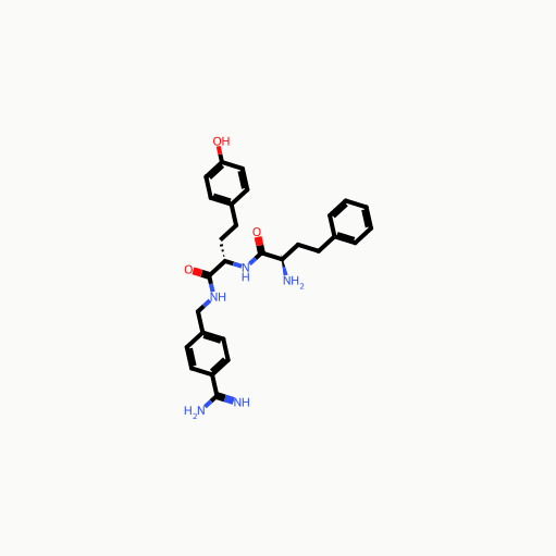 N=C(N)c1ccc(CNC(=O)[C@H](CCc2ccc(O)cc2)NC(=O)[C@H](N)CCc2ccccc2)cc1